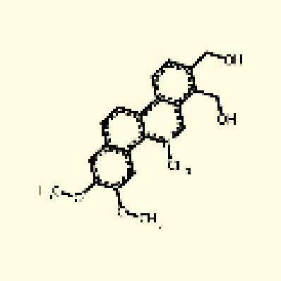 COc1cc2ccc3c4ccc(CO)c(CO)c4c[n+](C)c3c2cc1OC